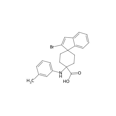 Cc1cccc(NC2(C(=O)O)CCC3(CC2)C(Br)=Cc2ccccc23)c1